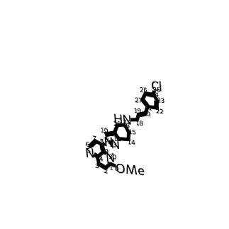 COc1ccc2nccc(-n3cc4c(n3)CCC(NC/C=C/c3ccc(Cl)cc3)C4)c2n1